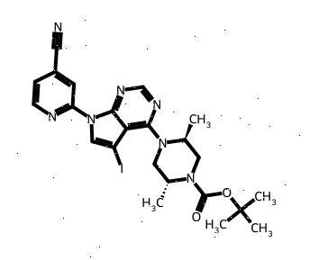 C[C@@H]1CN(c2ncnc3c2c(I)cn3-c2cc(C#N)ccn2)[C@@H](C)CN1C(=O)OC(C)(C)C